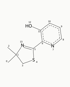 CC1(C)CSC(c2ncccc2O)=N1